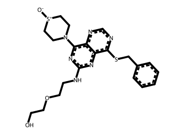 [O-][S+]1CCN(c2nc(NCCOCCO)nc3c(SCc4ccccc4)ncnc23)CC1